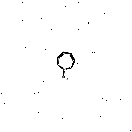 NN1CC=CC=CS1